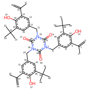 C=C(C)c1cc(Cn2c(=O)n(Cc3cc(C(=C)C)c(O)c(C(C)(C)C)c3)c(=O)n(Cc3cc(C(=C)C)c(O)c(C(C)(C)C)c3)c2=O)cc(C(C)(C)C)c1O